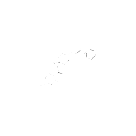 CN1CCN(C(=O)C2CC23CCN(CC=Cc2ccccc2)CC3)CC1